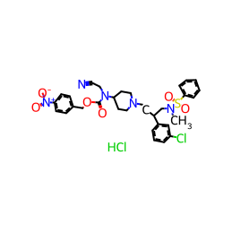 CN(CC(CCN1CCC(N(CC#N)C(=O)OCc2ccc([N+](=O)[O-])cc2)CC1)c1cccc(Cl)c1)S(=O)(=O)c1ccccc1.Cl